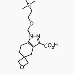 C[Si](C)(C)CCOCn1nc(C(=O)O)c2c1CCC1(COC1)C2